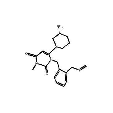 C=NCc1ccccc1Cn1c(N2CCC[C@@H](N)C2)cc(=O)n(C)c1=O